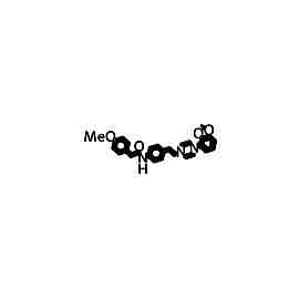 COC1CCC(CC(=O)NC2CCC(CCN3CCN(c4cccc5c4OCO5)CC3)CC2)CC1